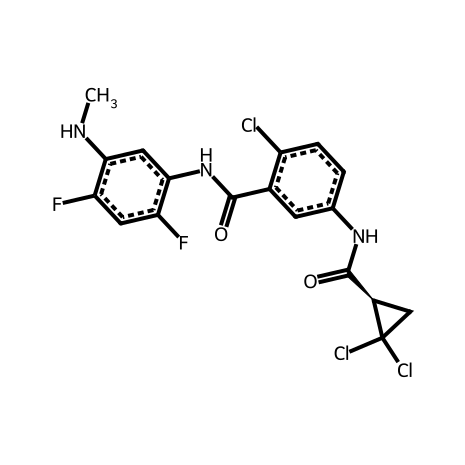 CNc1cc(NC(=O)c2cc(NC(=O)[C@H]3CC3(Cl)Cl)ccc2Cl)c(F)cc1F